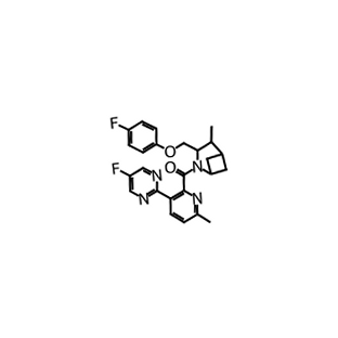 Cc1ccc(-c2ncc(F)cn2)c(C(=O)N2C3CC(C3)C(C)C2COc2ccc(F)cc2)n1